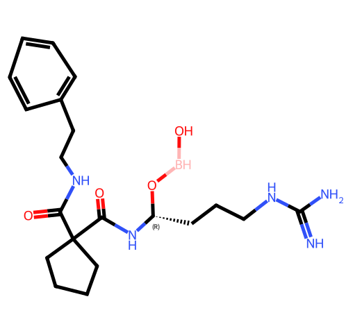 N=C(N)NCCC[C@H](NC(=O)C1(C(=O)NCCc2ccccc2)CCCC1)OBO